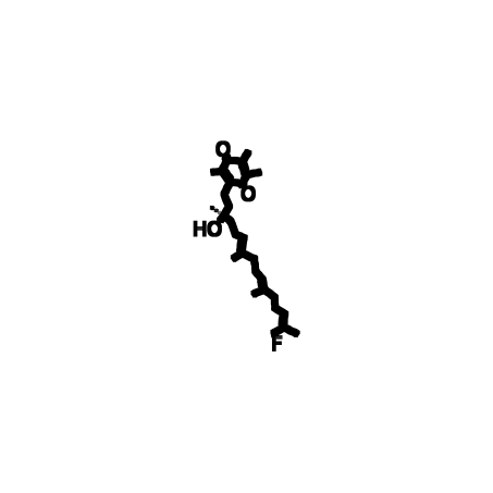 CC(=CCC/C(C)=C/CC/C(C)=C/CC[C@@](C)(O)CCC1=C(C)C(=O)C(C)=C(C)C1=O)CF